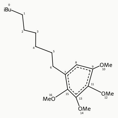 CCC(C)CCCCCCc1cc(OC)c(OC)c(OC)c1OC